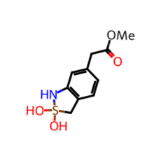 COC(=O)Cc1ccc2c(c1)NS(O)(O)C2